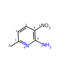 [CH2]c1ccc([N+](=O)[O-])c(N)n1